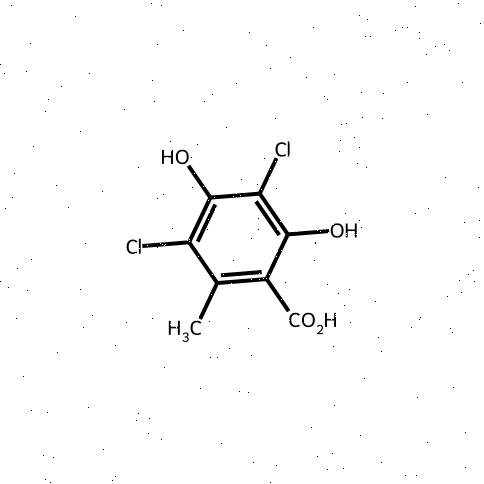 Cc1c(Cl)c(O)c(Cl)c(O)c1C(=O)O